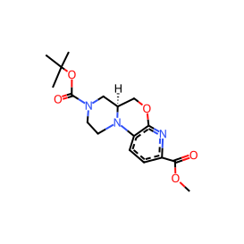 COC(=O)c1ccc2c(n1)OC[C@@H]1CN(C(=O)OC(C)(C)C)CCN21